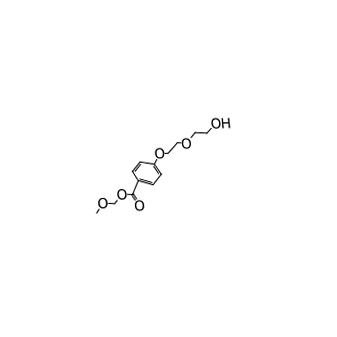 COCOC(=O)c1ccc(OCCOCCO)cc1